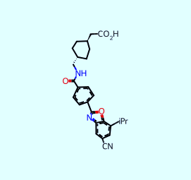 CC(C)c1cc(C#N)cc2nc(-c3ccc(C(=O)NC[C@H]4CC[C@H](CC(=O)O)CC4)cc3)oc12